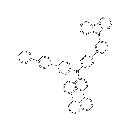 c1ccc(-c2ccc(-c3ccc(N(c4ccc(-c5cccc(-n6c7ccccc7c7ccccc76)c5)cc4)c4ccc(-c5cccc6cccc(-c7ccccc7)c56)cc4)cc3)cc2)cc1